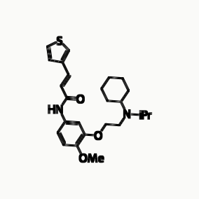 COc1ccc(NC(=O)C=Cc2ccsc2)cc1OCCN(C(C)C)C1CCCCC1